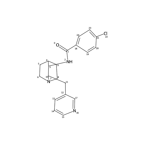 O=C(NC1C2CCN(CC2)C1Cc1cccnc1)c1ccc(Cl)cc1